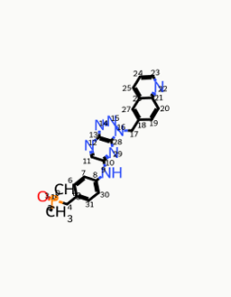 CP(C)(=O)Cc1ccc(Nc2cnc3nnn(Cc4ccc5ncccc5c4)c3n2)cc1